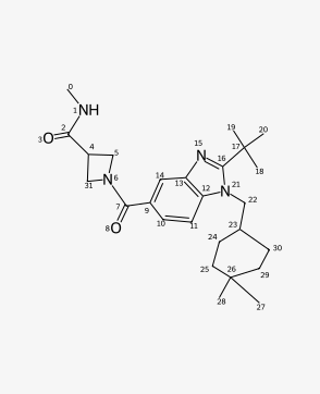 CNC(=O)C1CN(C(=O)c2ccc3c(c2)nc(C(C)(C)C)n3CC2CCC(C)(C)CC2)C1